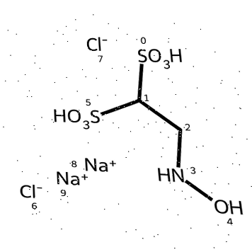 O=S(=O)(O)C(CNO)S(=O)(=O)O.[Cl-].[Cl-].[Na+].[Na+]